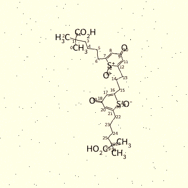 CC(C)(CCCCc1cc(=O)cc(CCCc2cc(=O)cc(CCCCC(C)(C)C(=O)O)[s+]2[O-])[s+]1[O-])C(=O)O